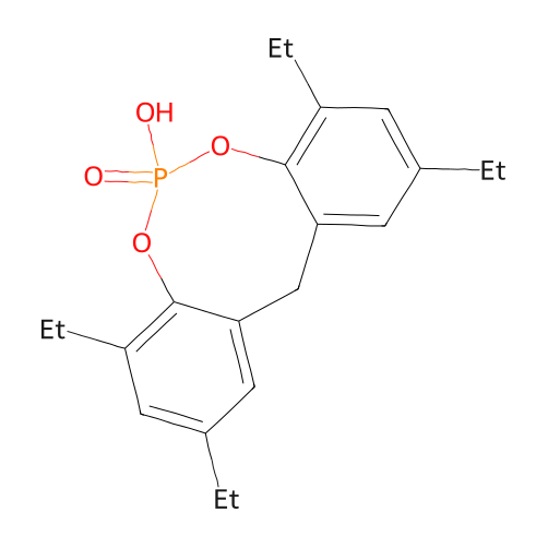 CCc1cc(CC)c2c(c1)Cc1cc(CC)cc(CC)c1OP(=O)(O)O2